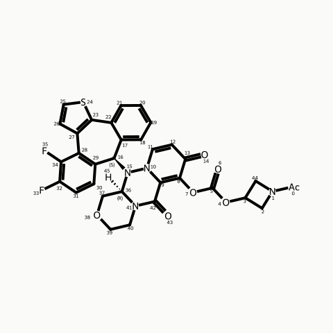 CC(=O)N1CC(OC(=O)Oc2c3n(ccc2=O)N([C@@H]2c4ccccc4-c4sccc4-c4c2ccc(F)c4F)[C@@H]2COCCN2C3=O)C1